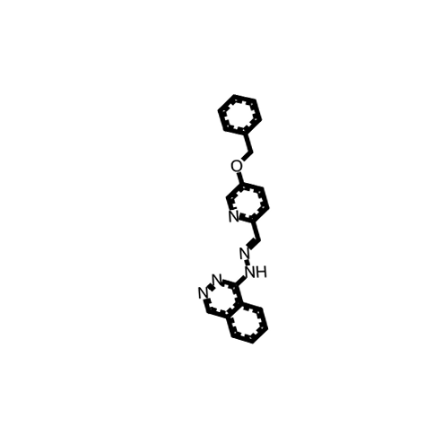 C(=NNc1nncc2ccccc12)c1ccc(OCc2ccccc2)cn1